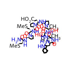 CSCC[C@H](NC(=O)[C@@H]1CCCN1C(=O)[C@H](CCSC)NC(=O)[C@@H]1CCCN1C(=O)[C@H](CCC(=O)O)NC(=O)[C@@H]1CCCN1C(=O)[C@@H](NC(=O)[C@H](CO)NC(=O)C(C)(C)NC(=O)[C@@H](N)Cc1c[nH]c2ccccc12)[C@@H](C)O)C(N)=O